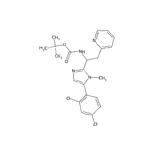 Cn1c(-c2ccc(Cl)cc2Cl)cnc1C(Cc1ccccn1)NC(=O)OC(C)(C)C